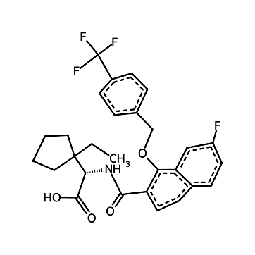 CCC1([C@H](NC(=O)c2ccc3ccc(F)cc3c2OCc2ccc(C(F)(F)F)cc2)C(=O)O)CCCC1